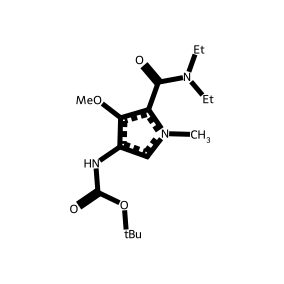 CCN(CC)C(=O)c1c(OC)c(NC(=O)OC(C)(C)C)cn1C